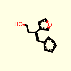 OCCC(=Cc1ccccc1)c1ccoc1